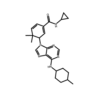 CC1CCC(Nc2ncnc3c2ncn3C2C=C(C(=O)NC3CC3)C=CC2(C)C)CC1